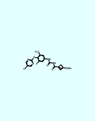 COC12CC(C(=O)NC(=O)Nc3cc(C)c(Oc4ncc(Cl)cn4)c(F)c3)(C1)C2